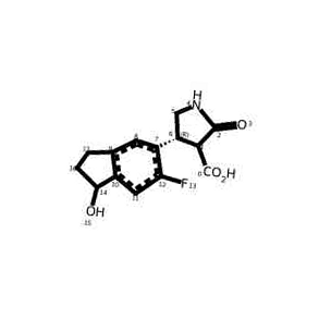 O=C(O)C1C(=O)NC[C@H]1c1cc2c(cc1F)C(O)CC2